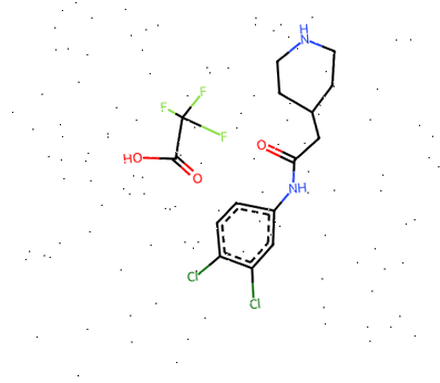 O=C(CC1CCNCC1)Nc1ccc(Cl)c(Cl)c1.O=C(O)C(F)(F)F